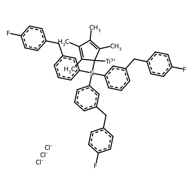 CC1=C(C)[C]([Ti+3])([Si](c2cccc(Cc3ccc(F)cc3)c2)(c2cccc(Cc3ccc(F)cc3)c2)c2cccc(Cc3ccc(F)cc3)c2)C(C)=C1C.[Cl-].[Cl-].[Cl-]